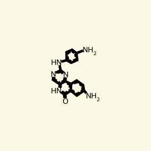 Nc1ccc(Nc2ncc3[nH]c(=O)c4cc(N)ccc4c3n2)cc1